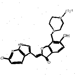 O=C1C(=Cc2c[nH]c3nc(Cl)ccc23)Oc2c1ccc(O)c2CN1CCN(C(=O)O)CC1